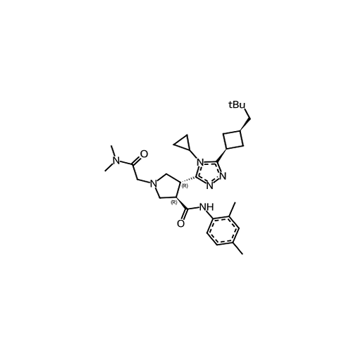 Cc1ccc(NC(=O)[C@H]2CN(CC(=O)N(C)C)C[C@@H]2c2nnc([C@H]3C[C@@H](CC(C)(C)C)C3)n2C2CC2)c(C)c1